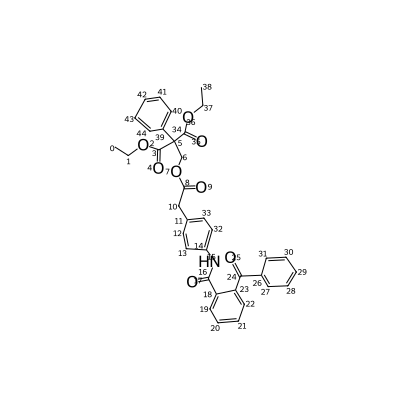 CCOC(=O)C(COC(=O)Cc1ccc(NC(=O)c2ccccc2C(=O)c2ccccc2)cc1)(C(=O)OCC)c1ccccc1